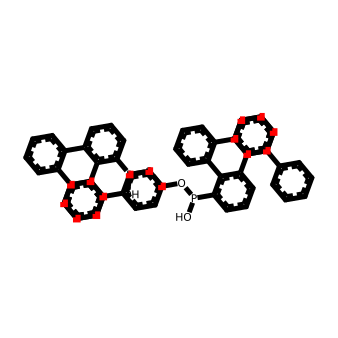 OP(OCOP(O)c1cccc(-c2ccccc2-c2ccccc2)c1-c1ccccc1-c1ccccc1)c1cccc(-c2ccccc2-c2ccccc2)c1-c1ccccc1-c1ccccc1